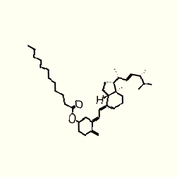 C=C1CCC(OC(=O)CCCCCCCCCCC)CC1=CC=C1CCC[C@]2(C)[C@@H]([C@H](C)C=C[C@H](C)C(C)C)CC[C@@H]12